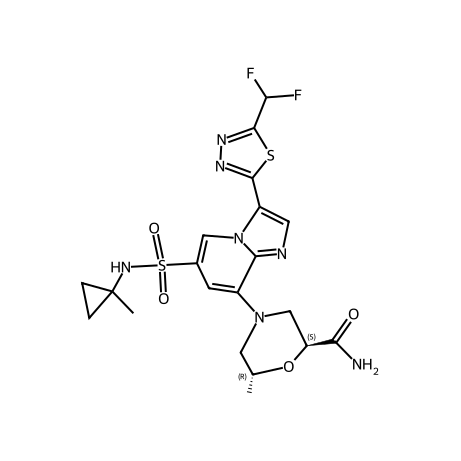 C[C@@H]1CN(c2cc(S(=O)(=O)NC3(C)CC3)cn3c(-c4nnc(C(F)F)s4)cnc23)C[C@@H](C(N)=O)O1